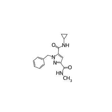 CNC(=O)c1cc(C(=O)NC2CC2)n(Cc2ccccc2)n1